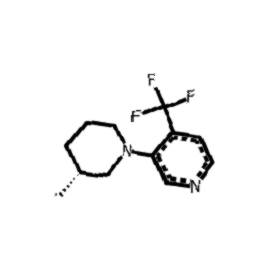 [CH2][C@@H]1CCCN(c2cnccc2C(F)(F)F)C1